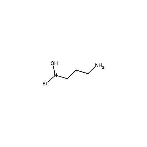 CCN(O)CCCN